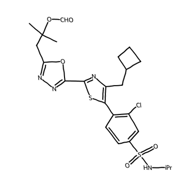 CC(C)NS(=O)(=O)c1ccc(-c2sc(-c3nnc(CC(C)(C)OC=O)o3)nc2CC2CCC2)c(Cl)c1